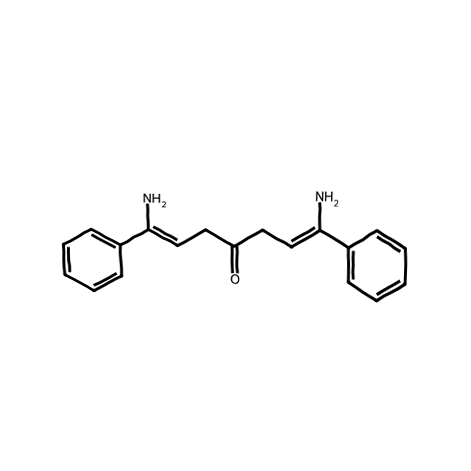 NC(=CCC(=O)CC=C(N)c1ccccc1)c1ccccc1